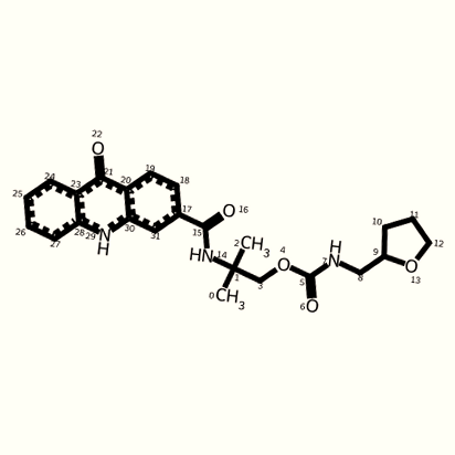 CC(C)(COC(=O)NCC1CCCO1)NC(=O)c1ccc2c(=O)c3ccccc3[nH]c2c1